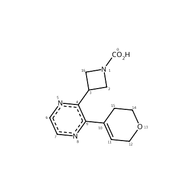 O=C(O)N1CC(c2nccnc2C2=CCOCC2)C1